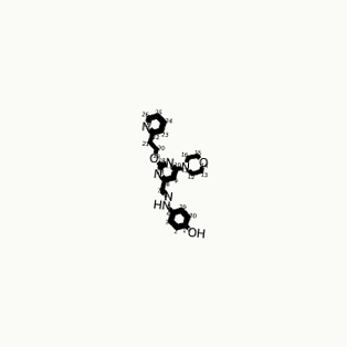 Oc1ccc(NN=Cc2cc(N3CCOCC3)nc(OCCc3ccccn3)n2)cc1